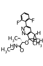 CCNC(=O)[C@H](CC)O[C@@]12CC[C@@H](c3cc(-c4c(F)cccc4F)nnc31)C2(C)C